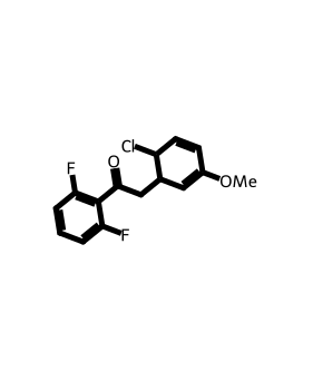 COC1=CC(CC(=O)c2c(F)cccc2F)C(Cl)C=C1